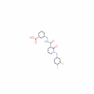 O=C(O)c1cccc(CNC(=O)c2cccn(Cc3ccc(F)c(F)c3)c2=O)c1